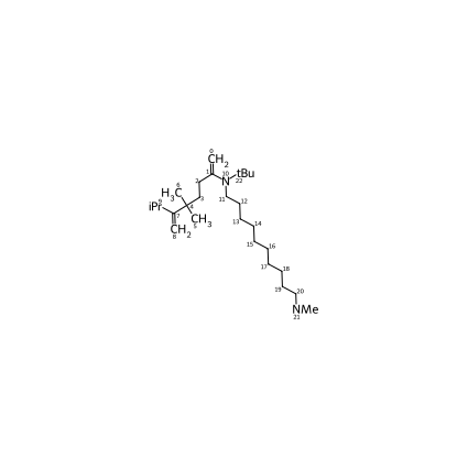 C=C(CCC(C)(C)C(=C)C(C)C)N(CCCCCCCCCCNC)C(C)(C)C